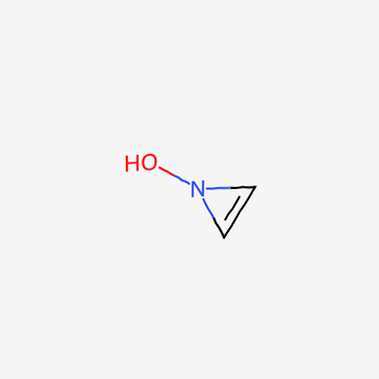 ON1C=C1